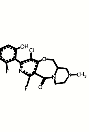 CN1CCN2C(=O)c3c(F)nc(-c4c(O)cccc4F)c(Cl)c3OCC2C1